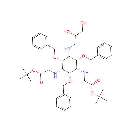 CC(C)(C)OC(=O)CN[C@@H]1[C@H](OCc2ccccc2)[C@H](NCC(=O)OC(C)(C)C)[C@H](OCc2ccccc2)[C@H](NCC(O)CO)[C@@H]1OCc1ccccc1